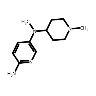 CN1CCC(N(C)c2ccc(N)nc2)CC1